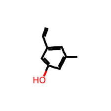 C=Cc1cc(C)cc(O)c1